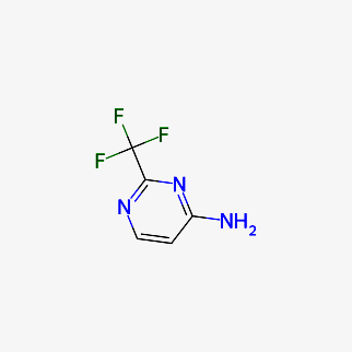 Nc1ccnc(C(F)(F)F)n1